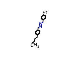 CC=CCCc1ccc(C=NN=Cc2ccc(CC)cc2)cc1